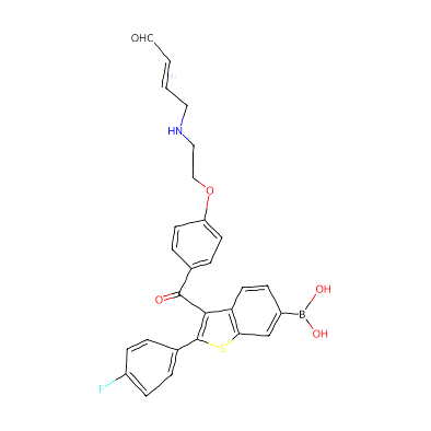 O=C/C=C/CNCCOc1ccc(C(=O)c2c(-c3ccc(F)cc3)sc3cc(B(O)O)ccc23)cc1